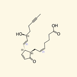 CC#CCC[C@H](O)/C=C/[C@H]1C=CC(=O)[C@@H]1C/C=C\CCCC(=O)O